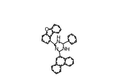 c1ccc(C2NC(c3cccc4oc5ccccc5c34)=NC(c3cc4ccccc4c4ccccc34)N2)cc1